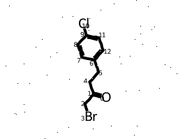 O=C(CBr)CCc1ccc(Cl)cc1